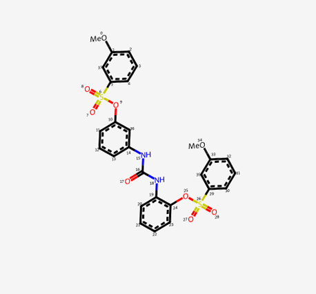 COc1cccc(S(=O)(=O)Oc2cccc(NC(=O)Nc3ccccc3OS(=O)(=O)c3cccc(OC)c3)c2)c1